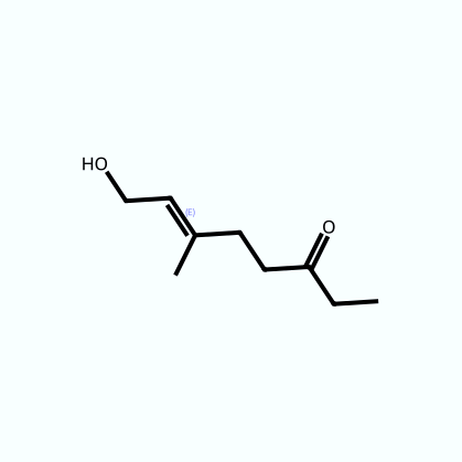 CCC(=O)CC/C(C)=C/CO